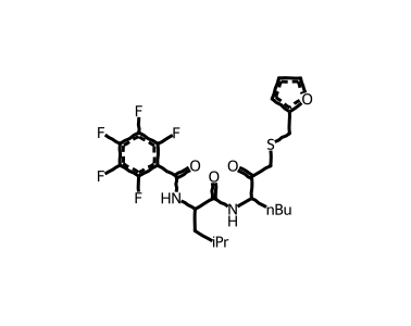 CCCCC(NC(=O)C(CC(C)C)NC(=O)c1c(F)c(F)c(F)c(F)c1F)C(=O)CSCc1ccco1